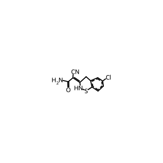 N#CC(C(N)=O)=C1Cc2cc(Cl)ccc2SN1